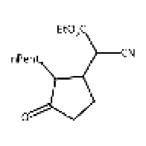 CCCCCC1C(=O)CCC1C(C#N)C(=O)OCC